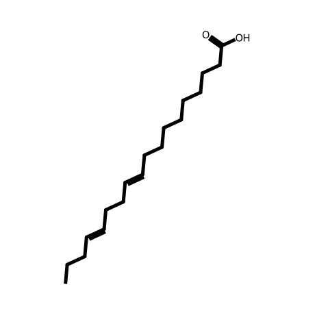 CCCC=CCCC=CCCCCCCCCC(=O)O